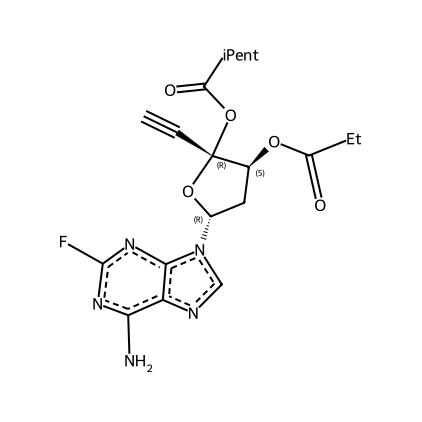 C#C[C@]1(OC(=O)C(C)CCC)O[C@@H](n2cnc3c(N)nc(F)nc32)C[C@@H]1OC(=O)CC